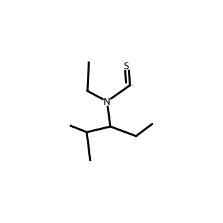 CCC(C(C)C)N([C]=S)CC